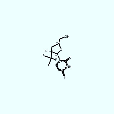 OC[C@@H]1C[C@](F)(C(F)(F)F)[C@H](n2ccc(=S)[nH]c2=S)O1